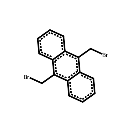 BrCc1c2ccccc2c(CBr)c2ccccc12